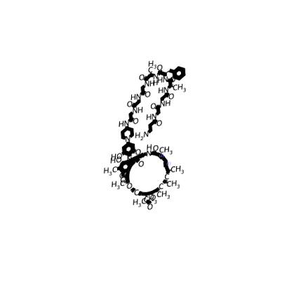 CC(=O)O[C@@H]1[C@H](C)C=C=CO[C@@]2(C)Oc3c(C)c(O)c4c(=O)c(c5oc6cc(N7CCC(NC(=O)CNC(=O)CNC(=O)CNC(=O)[C@H](C)NC(=O)[C@H](Cc8ccccc8)NC(=O)[C@H](C)NC(=O)CNC(=O)CNC(=O)CCN)CC7)cc(O)c6nc-5c4c3C2=O)NC(=O)/C(C)=C\C=C\[C@H](C)C[C@@H](C)C[C@H]1C